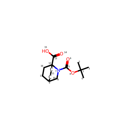 CC(C)(C)OC(=O)N1CC2CCC1(C(=O)O)CC2